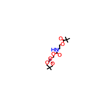 CC1(C)COP(OCOC(=O)NCCOC(=O)C(C)(C)C)OC1